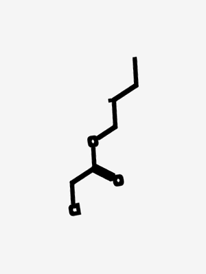 CC[CH]COC(=O)CCl